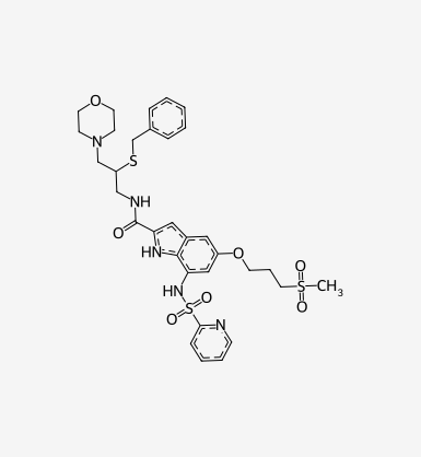 CS(=O)(=O)CCCOc1cc(NS(=O)(=O)c2ccccn2)c2[nH]c(C(=O)NCC(CN3CCOCC3)SCc3ccccc3)cc2c1